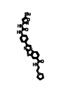 CC(C)(C)c1cc(NC(=O)Nc2ccc(-c3cn4c(n3)sc3cc(C(=O)NCCN5CCCC5)ccc34)cc2)no1